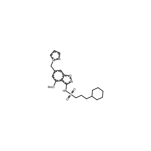 COc1cc(Cn2cccn2)cc2onc(NS(=O)(=O)CCCC3CCCCC3)c12